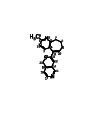 Cc1ncc2c(n1)CCCC=C2C1=Cc2cnccc2CS1